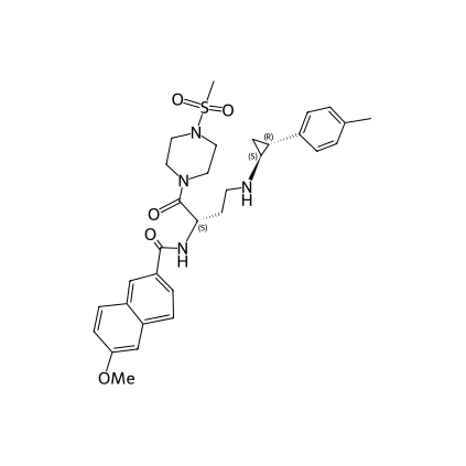 COc1ccc2cc(C(=O)N[C@@H](CCN[C@H]3C[C@@H]3c3ccc(C)cc3)C(=O)N3CCN(S(C)(=O)=O)CC3)ccc2c1